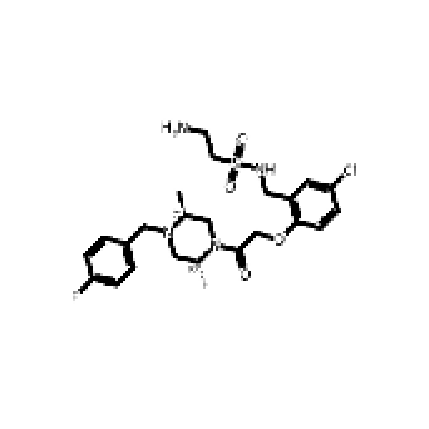 C[C@@H]1CN(Cc2ccc(F)cc2)[C@@H](C)CN1C(=O)COc1ccc(Cl)cc1CNS(=O)(=O)CCN